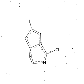 Clc1ncnc2cc(I)cn12